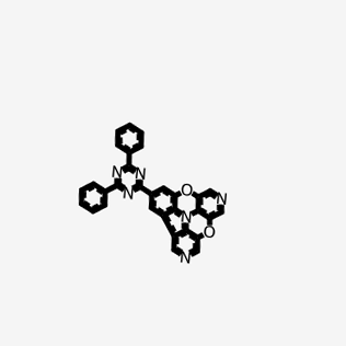 c1ccc(-c2nc(-c3ccccc3)nc(-c3cc4c5c(c3)c3cncc6c3n5-c3c(cncc3O4)O6)n2)cc1